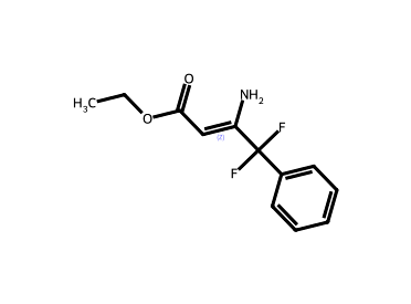 CCOC(=O)/C=C(\N)C(F)(F)c1ccccc1